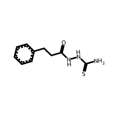 NC(=S)NNC(=O)CCc1ccccc1